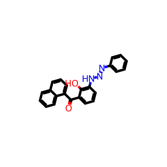 O=C(c1cccc(NN=Nc2ccccc2)c1O)c1cccc2ccccc12